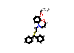 O=C(O)COc1cccc2c1OCCCN2CCSC(c1ccccc1)c1ccccc1